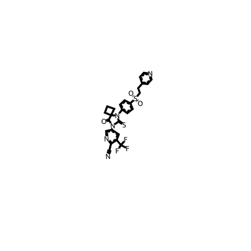 N#Cc1ncc(N2C(=O)C3(CCC3)N(c3ccc(S(=O)(=O)CCc4ccncc4)cc3)C2=S)cc1C(F)(F)F